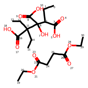 CCC(C(=O)O)C(O)(C(=O)O)C(CC)(CC)C(=O)O.CCOC(=O)CCC(=O)OCC